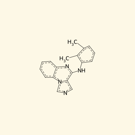 Cc1cccc(Nc2nc3ccccc3n3cncc23)c1C